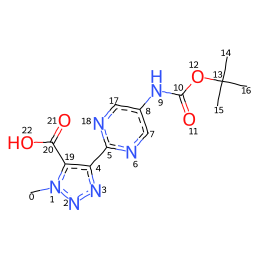 Cn1nnc(-c2ncc(NC(=O)OC(C)(C)C)cn2)c1C(=O)O